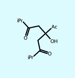 CC(=O)C(O)(CC(=O)C(C)C)CC(=O)C(C)C